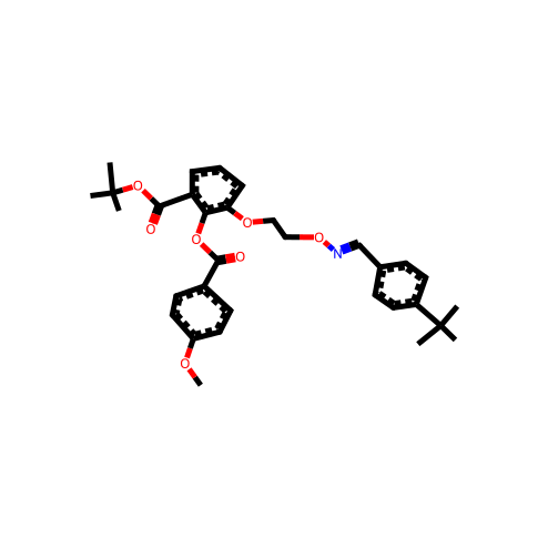 COc1ccc(C(=O)Oc2c(OCCO/N=C/c3ccc(C(C)(C)C)cc3)cccc2C(=O)OC(C)(C)C)cc1